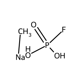 O=P(O)(O)F.[CH3][Na]